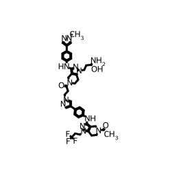 CC(=O)N1CCc2c(c(Nc3ccc(-c4cnn(CCC(=O)N5CCc6c(c(Nc7ccc(-c8cnn(C)c8)cc7)nn6CCC(N)O)C5)c4)cc3)nn2CCC(F)(F)F)C1